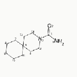 NC(=O)N1CCC2(CCCCC2)CC1